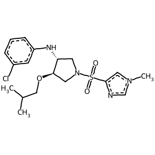 CC(C)CO[C@@H]1CN(S(=O)(=O)c2cn(C)cn2)C[C@H]1Nc1cccc(Cl)c1